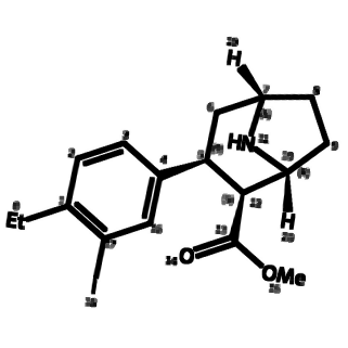 CCc1ccc([C@H]2C[C@@H]3CC[C@@H](N3)[C@H]2C(=O)OC)cc1I